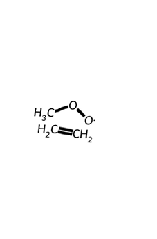 C=C.CO[O]